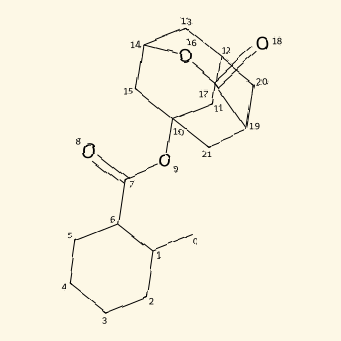 CC1CCCCC1C(=O)OC12CC3CC(C1)OC(=O)C(C3)C2